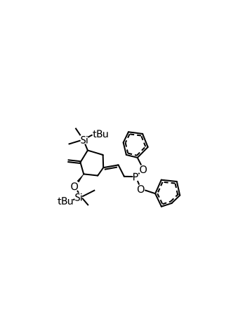 C=C1C([Si](C)(C)C(C)(C)C)C/C(=C/CP(Oc2ccccc2)Oc2ccccc2)C[C@H]1O[Si](C)(C)C(C)(C)C